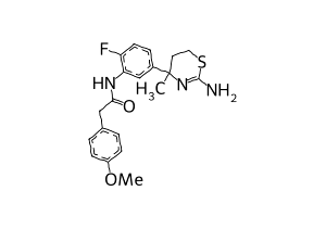 COc1ccc(CC(=O)Nc2cc(C3(C)CCSC(N)=N3)ccc2F)cc1